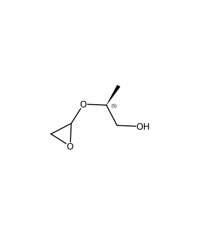 C[C@@H](CO)OC1CO1